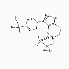 CS(=O)(=O)C1(CN2CCc3[nH]nc(-c4ccc(C(F)(F)F)cc4)c3C2)CO1